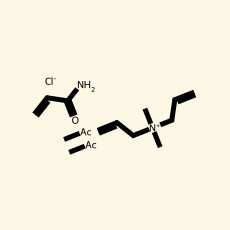 C=CC(N)=O.C=CC[N+](C)(C)CC=C.CC(C)=O.CC(C)=O.[Cl-]